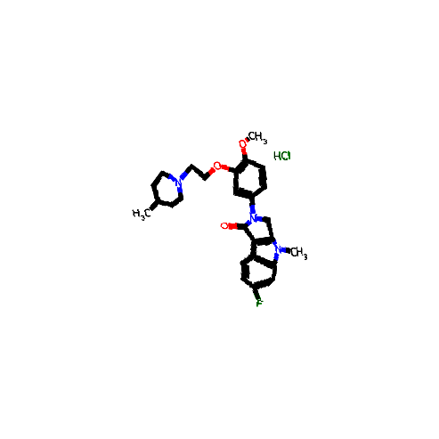 COc1ccc(N2Cc3c(c4ccc(F)cc4n3C)C2=O)cc1OCCN1CCC(C)CC1.Cl